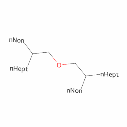 CCCCCCCCCC(CCCCCCC)COCC(CCCCCCC)CCCCCCCCC